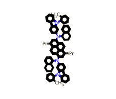 Cc1ccccc1-n1c2ccccc2c2ccc(N(c3cccc4c3CCCC4)c3cc(C(C)C)c4ccc5c(N(c6ccc7c8ccccc8n(-c8ccccc8C)c7c6)C6CCCc7ccccc76)cc(C(C)C)c6ccc3c4c65)cc21